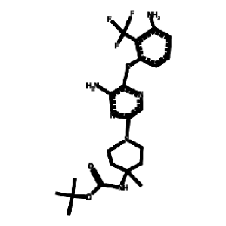 CC1(NC(=O)OC(C)(C)C)CCN(c2cnc(Sc3cccc(N)c3C(F)(F)F)c(N)n2)CC1